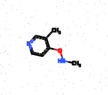 CNOc1ccncc1C